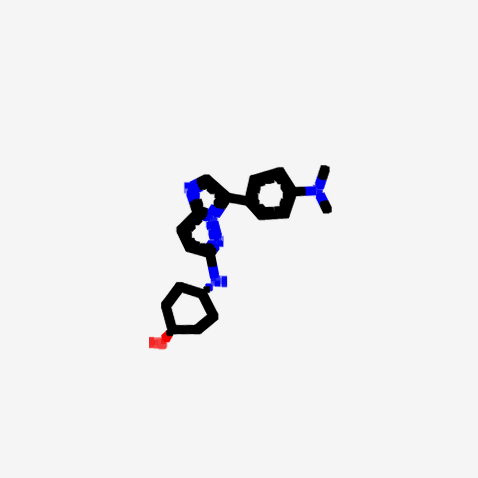 CN(C)c1ccc(-c2cnc3ccc(N[C@H]4CC[C@H](O)CC4)nn23)cc1